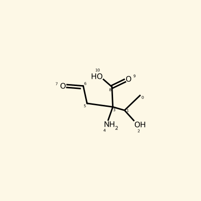 CC(O)C(N)(CC=O)C(=O)O